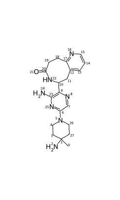 CC1(N)CCN(c2cnc(C3Cc4cccnc4CCC(=O)N3)c(N)n2)CC1